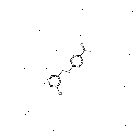 CC(=O)c1ccc(OCc2cncc(Cl)c2)cc1